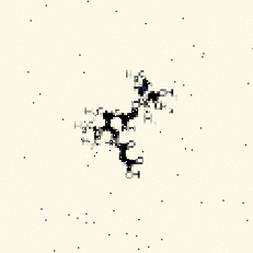 C=C(SC(=N)CO[Si](C)(/C=C/C)C(C)(C)C)C(CNC(=O)/C=C(/C)Cl)N(C)C